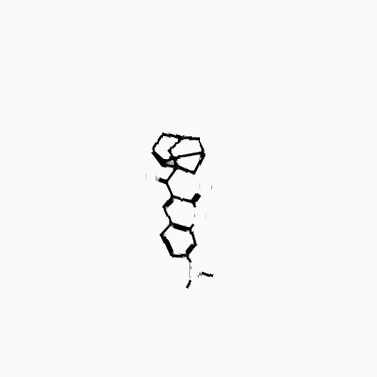 CN(C)c1ccc2cc(C(=O)C34CC5CC(CC(C5)C3)C4)c(=O)oc2c1